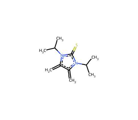 C=c1c(=C)n(C(C)C)c(=S)n1C(C)C